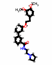 COc1ccc(CCOc2cccc(-c3cccc(C(=O)NCCN4CCCC4)c3)c2)cc1OC